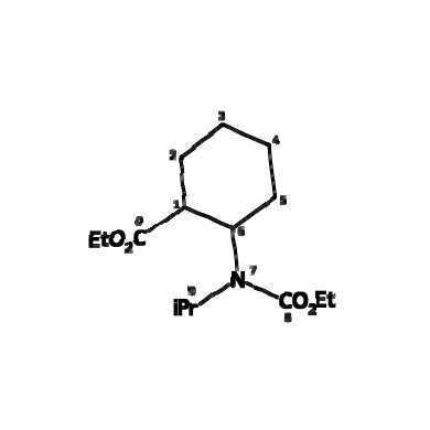 CCOC(=O)C1CCCCC1N(C(=O)OCC)C(C)C